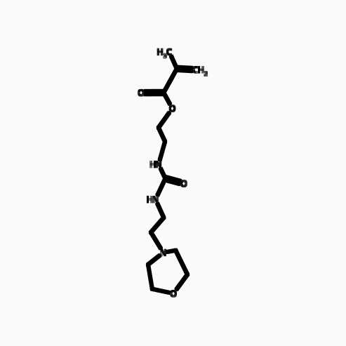 C=C(C)C(=O)OCCNC(=O)NCCN1CCOCC1